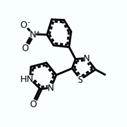 Cc1nc(-c2cccc([N+](=O)[O-])c2)c(-c2cc[nH]c(=O)n2)s1